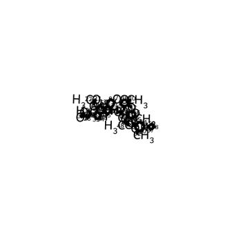 CC(=O)OC1CC(O[C@H]2CC[C@@]3(C)[C@H](CC[C@@H]4[C@@H]3C[C@@H](OC(C)=O)[C@]3(C)[C@@H](C5=CC(=O)OC5)CC[C@]43O)C2)OC(C)C1O[C@H]1C[C@H](OC(C)=O)[C@H](OC2CCN(C3CCC3)CC(C)O2)[C@@H](C)O1